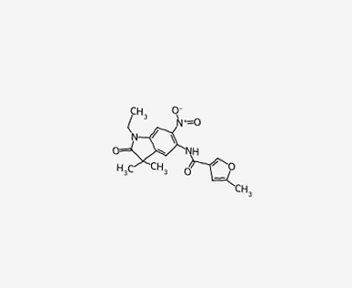 CCN1C(=O)C(C)(C)c2cc(NC(=O)c3coc(C)c3)c([N+](=O)[O-])cc21